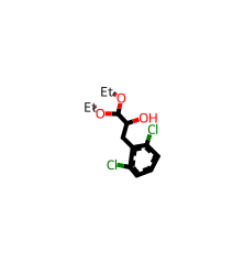 CCOC(OCC)C(O)Cc1c(Cl)cccc1Cl